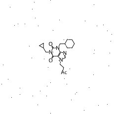 CC(=O)CCn1cnc2c1c(=O)n(CC1CC1)c(=O)n2CC1CCCCC1